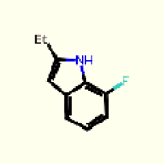 CCc1cc2cccc(F)c2[nH]1